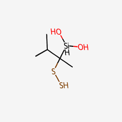 CC(C)C(C)(SS)[SiH](O)O